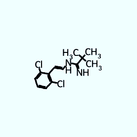 CC(C)(C)C(=N)NC=Cc1c(Cl)cccc1Cl